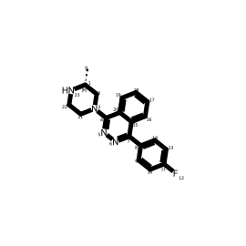 C[C@@H]1CN(c2nnc(-c3ccc(F)cc3)c3ccccc23)CCN1